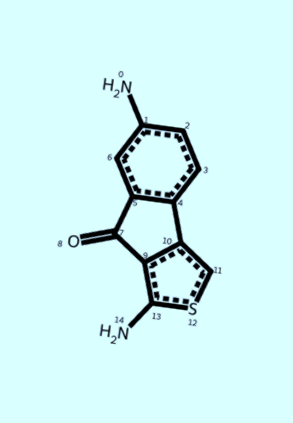 Nc1ccc2c(c1)C(=O)c1c-2csc1N